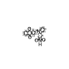 O=C1NC(=O)C(=Cc2cn(Cc3ccc4c(c3)C(=O)c3ccccc3C4=O)c3ccccc23)S1